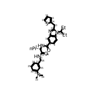 CCC[C@H](NC(=O)c1ccc2c(c1)nc(Cc1cccs1)n2C(CC)CC)C(=O)NCc1cccc(N(C)C)c1